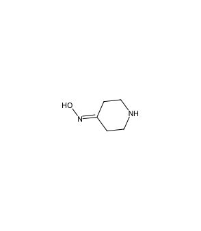 ON=C1CCNCC1